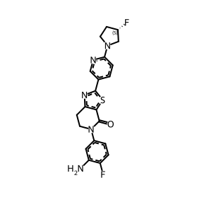 Nc1cc(N2CCc3nc(-c4ccc(N5CC[C@H](F)C5)nc4)sc3C2=O)ccc1F